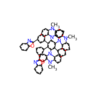 CN1c2ccccc2N(c2c(-c3cccc(-c4nc5ccccc5o4)c3)c(-c3cccc(-c4nc5ccccc5o4)c3)c(N3c4ccccc4N(C)c4ccccc43)c(N3c4ccccc4N(C)c4ccccc43)c2-c2ccccc2)c2ccccc21